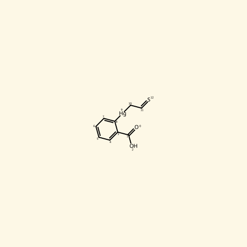 O=C(O)c1cccc[c]1[Hg][CH2]C=S